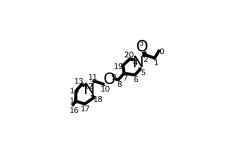 CCC(=O)N1CCC(COCCN2CCC(C)CC2)CC1